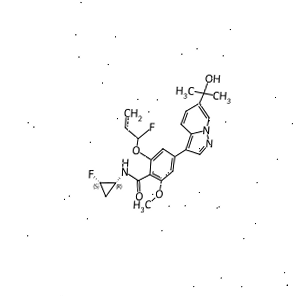 C=CC(F)Oc1cc(-c2cnn3cc(C(C)(C)O)ccc23)cc(OC)c1C(=O)N[C@@H]1C[C@@H]1F